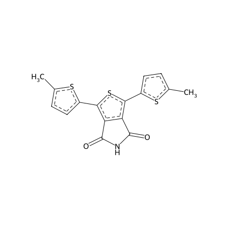 Cc1ccc(-c2sc(-c3ccc(C)s3)c3c2C(=O)NC3=O)s1